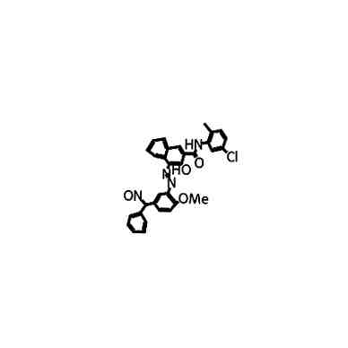 COc1ccc(C(N=O)c2ccccc2)cc1N=Nc1c(O)c(C(=O)Nc2cc(Cl)ccc2C)cc2ccccc12